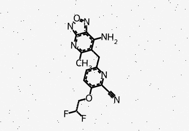 Cc1nc2nonc2c(N)c1Cc1ccc(OCC(F)F)c(C#N)n1